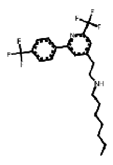 CCCCCCCNCCc1cc(-c2ccc(C(F)(F)F)cc2)nc(C(F)(F)F)c1